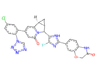 O=C1COc2cc(-c3nc(F)c(C4C5C[C@@H]5c5cc(-c6cc(Cl)ccc6-n6cnnn6)cc(=O)n54)[nH]3)ccc2N1